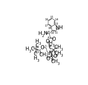 C[C@H](O[C@H](COC(=O)[C@@H](N)c1c[nH]c2ccccc12)CN(C(C)(C)C)S(C)(=O)=O)C(C)(C)C